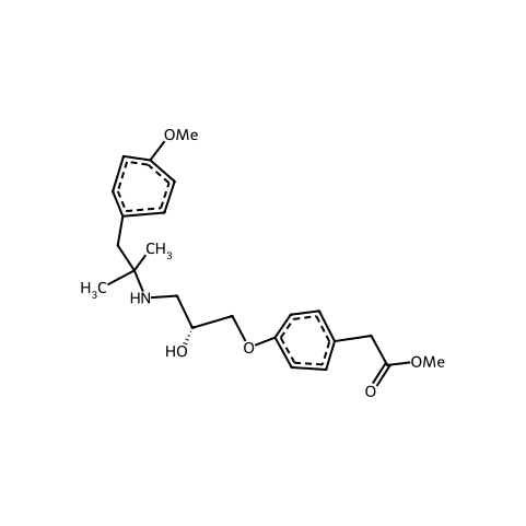 COC(=O)Cc1ccc(OC[C@H](O)CNC(C)(C)Cc2ccc(OC)cc2)cc1